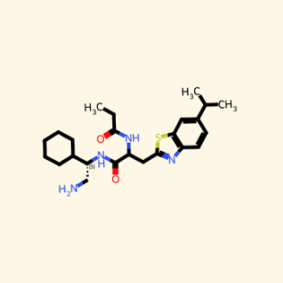 CCC(=O)NC(Cc1nc2ccc(C(C)C)cc2s1)C(=O)N[C@H](CN)C1CCCCC1